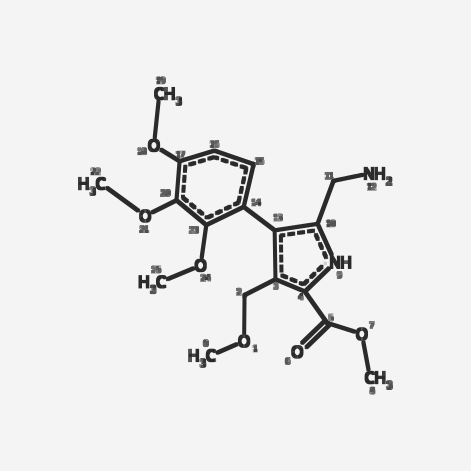 COCc1c(C(=O)OC)[nH]c(CN)c1-c1ccc(OC)c(OC)c1OC